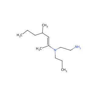 CCCC(C)/C=C(\C)N(CCC)CCN